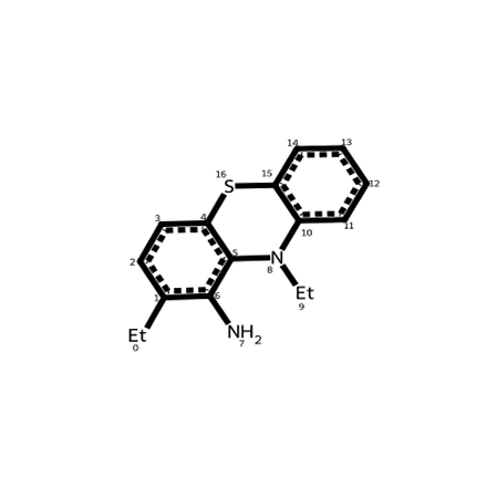 CCc1ccc2c(c1N)N(CC)c1ccccc1S2